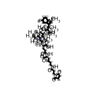 CN[C@H](C(=O)NC(C(=O)N(C)[C@H](/C=C(\C)C(=O)N[C@H](CCC(=O)N[C@@H](CCCCNC(=O)CCN1C(=O)C=CC1=O)C(=O)O)C(=O)O)C(C)C)C(C)(C)C)C(C)(C)c1cn(C)c2ccc(F)cc12